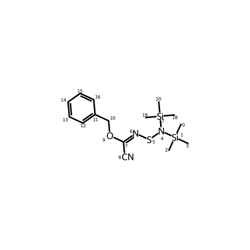 C[Si](C)(C)N(SN=C(C#N)OCc1ccccc1)[Si](C)(C)C